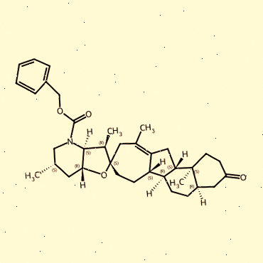 CC1=C2C[C@H]3[C@@H](CC[C@@H]4CC(=O)CC[C@@]43C)[C@@H]2CC[C@@]2(C1)O[C@@H]1C[C@H](C)CN(C(=O)OCc3ccccc3)[C@H]1[C@H]2C